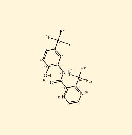 O=C(Nc1cc(C(F)(F)F)ccc1O)c1nccnc1C(F)(F)F